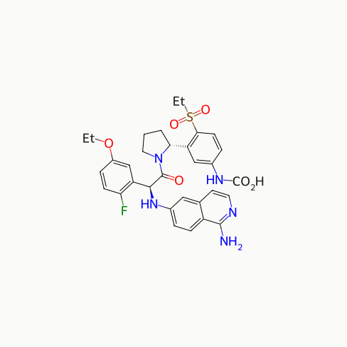 CCOc1ccc(F)c([C@H](Nc2ccc3c(N)nccc3c2)C(=O)N2CCC[C@@H]2c2cc(NC(=O)O)ccc2S(=O)(=O)CC)c1